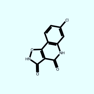 O=c1[nH]oc2c1c(=O)[nH]c1cc(Cl)ccc12